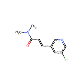 CN(C)C(=O)C=Cc1cncc(Cl)c1